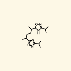 CC(C)C1=NOC(C(C)CCC(C)c2nc(C(C)C)no2)N1